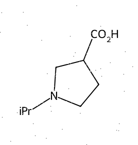 CC(C)N1CCC(C(=O)O)C1